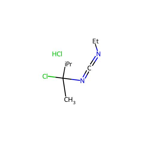 CCN=C=NC(C)(Cl)C(C)C.Cl